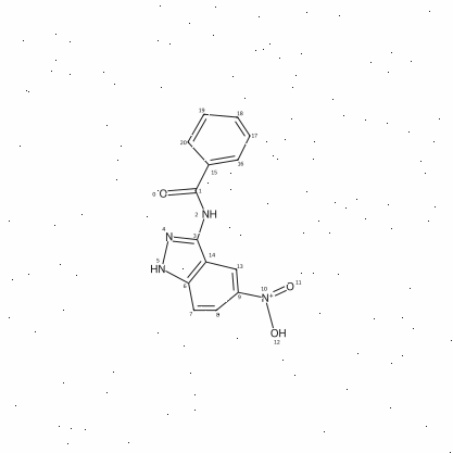 O=C(Nc1n[nH]c2ccc([N+](=O)O)cc12)c1ccccc1